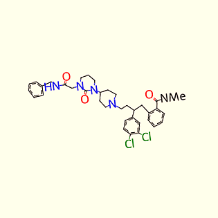 CNC(=O)c1ccccc1CC(CCN1CCC(N2CCCN(CC(=O)NCc3ccccc3)C2=O)CC1)c1ccc(Cl)c(Cl)c1